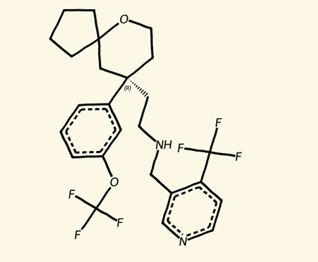 FC(F)(F)Oc1cccc([C@]2(CCNCc3cnccc3C(F)(F)F)CCOC3(CCCC3)C2)c1